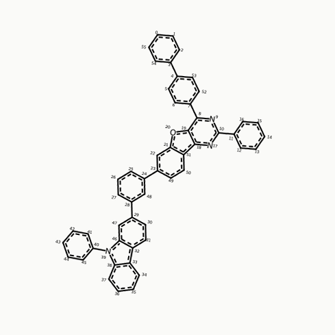 c1ccc(-c2ccc(-c3nc(-c4ccccc4)nc4c3oc3cc(-c5cccc(-c6ccc7c8ccccc8n(-c8ccccc8)c7c6)c5)ccc34)cc2)cc1